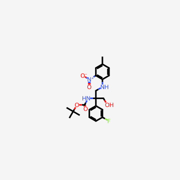 Cc1ccc(NCC(CO)(NC(=O)OC(C)(C)C)c2cccc(F)c2)c([N+](=O)[O-])c1